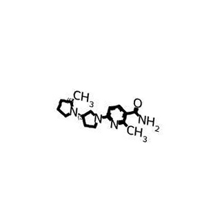 Cc1nc(N2CC[C@H](N3CCC[C@@H]3C)C2)ccc1C(N)=O